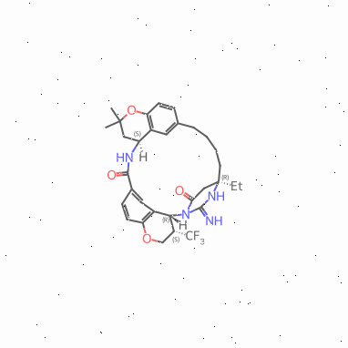 CC[C@]12CCCCc3ccc4c(c3)[C@H](CC(C)(C)O4)NC(=O)c3ccc4c(c3)[C@@H]([C@H](C(F)(F)F)CO4)N(C(=N)N1)C(=O)C2